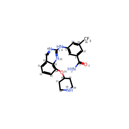 NC(=O)c1cc(Nc2ncc3cccc(OC4CCNCC4)c3n2)cc(C(F)(F)F)c1